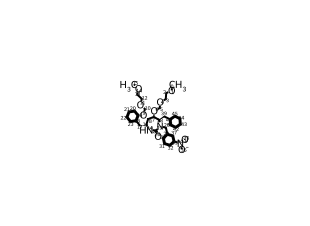 COCCOCO[C@@H]1[C@@H](OCOCCOC)[C@@H](Cc2ccccc2)NC(=O)N(Cc2cccc([N+](=O)[O-])c2)[C@@H]1Cc1ccccc1